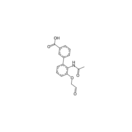 CC(=O)Nc1c(OCC=O)cccc1-c1cccc(C(=O)O)c1